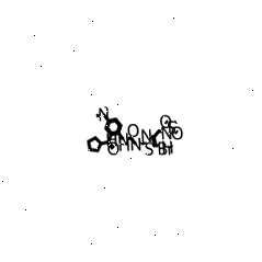 CN(C)c1ccc(NC(=O)Nc2nc(CNS(C)(=O)=O)c(Br)s2)c(C(=O)C2CCCC2)c1